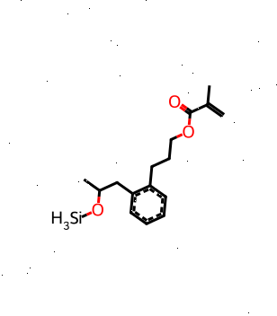 C=C(C)C(=O)OCCCc1ccccc1CC(C)O[SiH3]